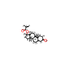 C=C(C)C(=O)OC1(C)CC[C@H]2C3CCC4CC(=O)CC[C@]4(C)[C@H]3CC[C@@]21C